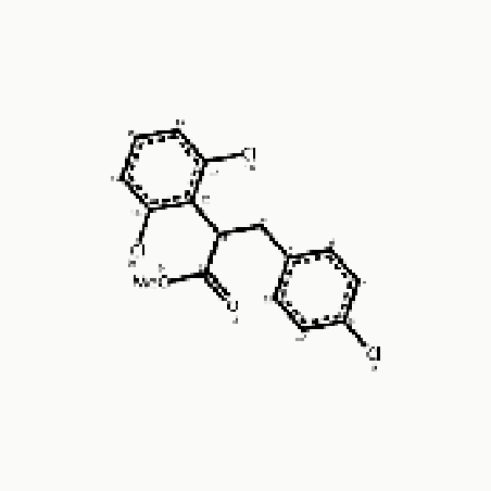 COC(=O)C(Cc1ccc(Cl)cc1)c1c(Cl)cccc1Cl